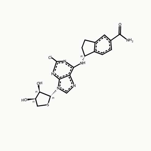 NC(=O)c1ccc2c(c1)CC[C@H]2Nc1nc(Cl)nc2c1ncn2[C@@H]1SC[C@@H](O)[C@H]1O